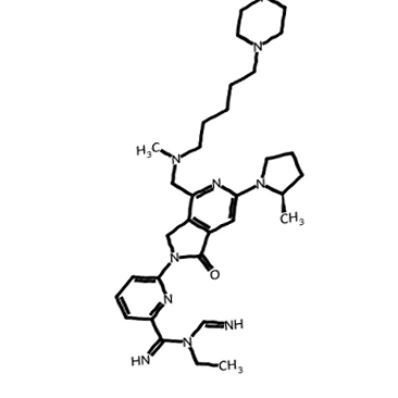 CCN(C=N)C(=N)c1cccc(N2Cc3c(cc(N4CCC[C@H]4C)nc3CN(C)CCCCCN3CCNCC3)C2=O)n1